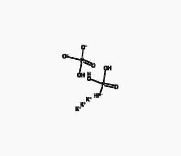 O=P(O)(O)[PH-].O=P([O-])([O-])O.[K+].[K+].[K+]